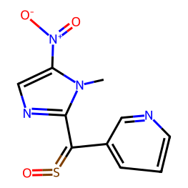 Cn1c([N+](=O)[O-])cnc1C(=S=O)c1cccnc1